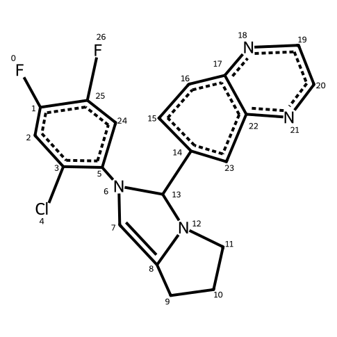 Fc1cc(Cl)c(N2C=C3CCCN3C2c2ccc3nccnc3c2)cc1F